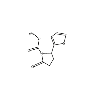 CC(C)(C)OC(=O)N1C(=O)CCC1c1cccs1